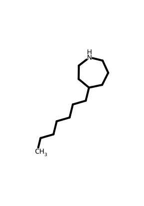 CCCCCCCC1CCCNCC1